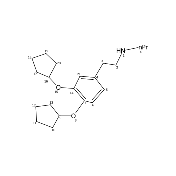 CCCNCCc1ccc(OC2CCCC2)c(OC2CCCC2)c1